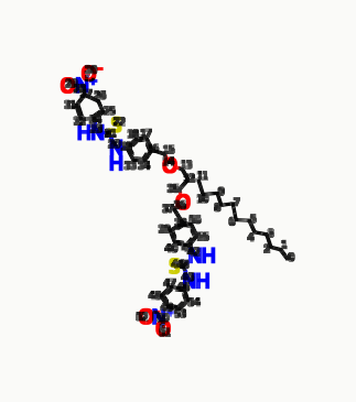 CCCCCCCCCCCC[C@@H](COCc1ccc(NC(=S)NC2=CCC([N+](=O)[O-])C=C2)cc1)COCc1ccc(NC(=S)Nc2ccc([N+](=O)[O-])cc2)cc1